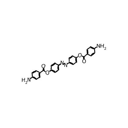 Nc1ccc(C(=O)Oc2ccc(N=Nc3ccc(OC(=O)c4ccc(N)cc4)cc3)cc2)cc1